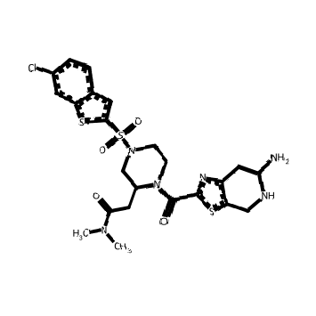 CN(C)C(=O)CC1CN(S(=O)(=O)c2cc3ccc(Cl)cc3s2)CCN1C(=O)c1nc2c(s1)CNC(N)C2